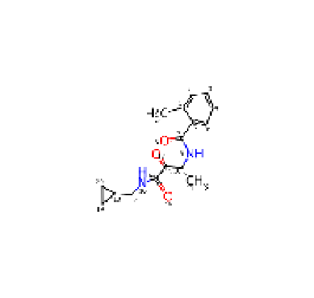 Cc1ccccc1C(=O)N[C@H](C)C(=O)C(=O)NCC1CC1